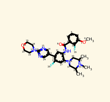 COc1cccc(C(=O)Nc2cc(-c3cnc(N4CCOCC4)nc3)c(F)cc2N2CC(C)N(C)C(C)C2)c1F